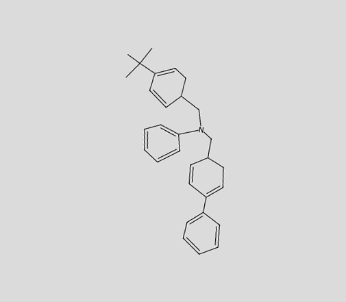 CC(C)(C)C1=CCC(CN(CC2C=CC(c3ccccc3)=CC2)c2ccccc2)C=C1